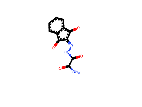 NC(=O)C(=O)NN=c1c(=O)c2ccccc2c1=O